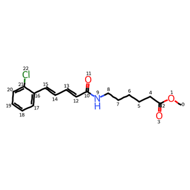 COC(=O)CCCCCNC(=O)/C=C/C=C/c1ccccc1Cl